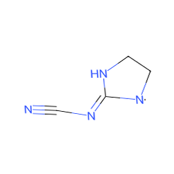 N#C/N=C1/[N]CCN1